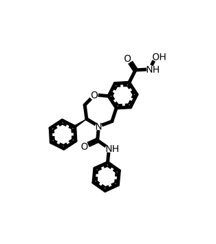 O=C(NO)c1ccc2c(c1)OC[C@H](c1ccccc1)N(C(=O)Nc1ccccc1)C2